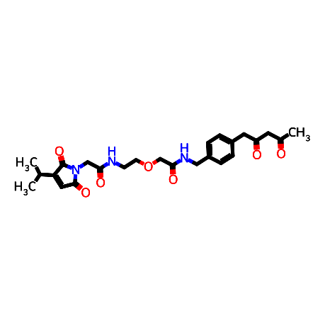 CC(=O)CC(=O)Cc1ccc(CNC(=O)COCCNC(=O)CN2C(=O)C=C(C(C)C)C2=O)cc1